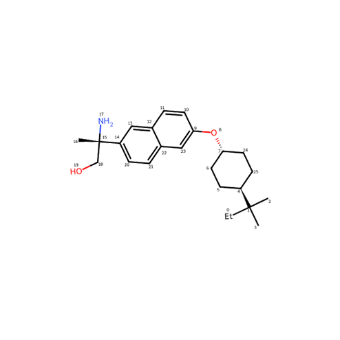 CCC(C)(C)[C@H]1CC[C@H](Oc2ccc3cc([C@@](C)(N)CO)ccc3c2)CC1